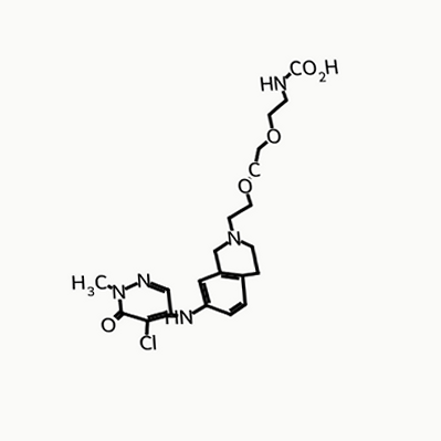 Cn1ncc(Nc2ccc3c(c2)CN(CCOCCOCCNC(=O)O)CC3)c(Cl)c1=O